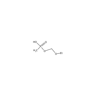 CCOCOP(C)(=O)O